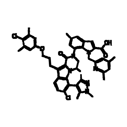 Cc1cc(C)nc(Cn2c(C(=O)O)cc3cc(C)cc(N4CC(C)n5c(c(CCCOc6cc(C)c(Cl)c(C)c6)c6ccc(Cl)c(-c7c(C)nn(C)c7C)c65)C4=O)c32)c1